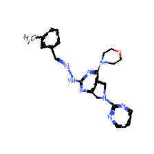 Cc1cccc(/C=N/Nc2nc3c(c(N4CCOCC4)n2)CN(c2ncccn2)C3)c1